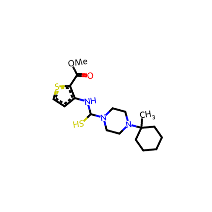 COC(=O)c1sccc1NC(S)N1CCN(C2(C)CCCCC2)CC1